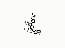 C[C@H]1c2nn(C)c(-c3cccc(OC(F)F)c3)c2CCN1C(=O)c1ccc2ncccc2c1